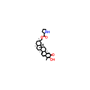 CC1=C(O)C(=O)C=C2C1=CC=C1[C@@]2(C)CC[C@@]2(C)[C@@H]3C[C@](C)(COC(=O)C4CCCN4)CC[C@]3(C)CC[C@]12C